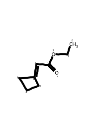 CCOC(=O)C=C1CCC1